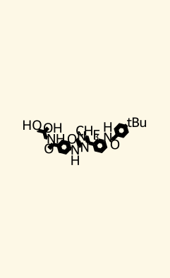 Cn1cc(-c2cccc(NC(=O)c3ccc(C(C)(C)C)cc3)c2F)nc(Nc2ccc(C(=O)NCC(O)CO)cc2)c1=O